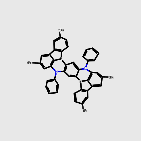 CC(C)(C)c1ccc2c(c1)-c1cc(C(C)(C)C)cc3c1B2c1cc2c(cc1N3c1ccccc1)B1c3ccc(C(C)(C)C)cc3-c3cc(C(C)(C)C)cc(c31)N2c1ccccc1